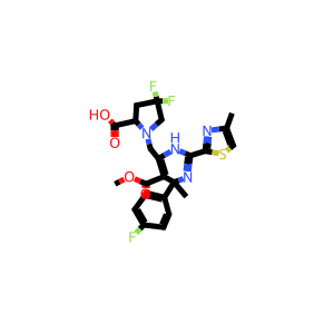 COC(=O)C1=C(CN2CC(F)(F)CC2C(=O)O)NC(c2nc(C)cs2)=NC1(C)c1ccc(F)cc1